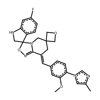 COc1cc(/C=C2\CC3(COC3)CN3C2=NOC32CNc3cc(F)ccc32)ccc1-n1cnc(C)c1